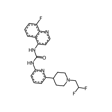 O=C(Nc1cccc(C2CCN(CC(F)F)CC2)n1)Nc1ccnc2c(F)cccc12